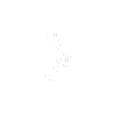 CN1CCC1/C=C/C(=O)N1CCCC(c2cn(-c3ccc(Oc4ccccc4F)cc3)c3c(N)n[nH]c(=O)c23)C1